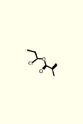 [CH2]CC(Cl)OC(=O)C(=C)C